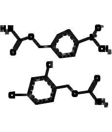 C[S+]([O-])c1ccc(COC(N)=O)cc1.NC(=O)OCc1ccc(Cl)cc1Cl